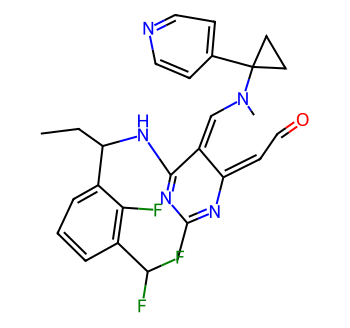 CCC(Nc1nc(C)nc(=C/C=O)/c1=C\N(C)C1(c2ccncc2)CC1)c1cccc(C(F)F)c1F